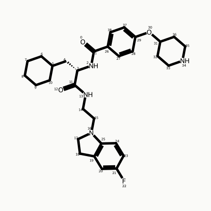 O=C(N[C@@H](CC1CCCCC1)C(=O)NCCN1CCc2cc(F)ccc21)c1ccc(OC2CCNCC2)cc1